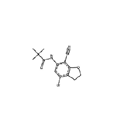 CC(C)(C)C(=O)Nc1cc(Br)c2c(c1C#N)OCC2